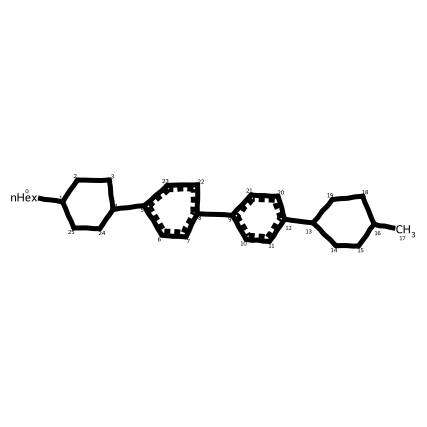 CCCCCCC1CCC(c2ccc(-c3ccc(C4CCC(C)CC4)cc3)cc2)CC1